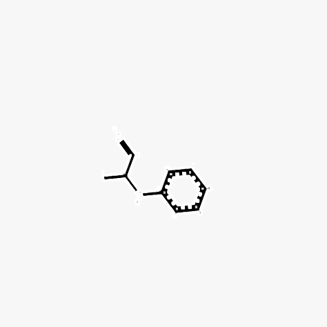 CC(C=S)Sc1ccccc1